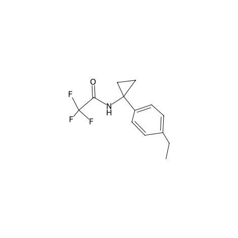 CCc1ccc(C2(NC(=O)C(F)(F)F)CC2)cc1